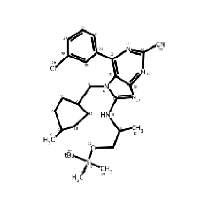 CC1CCC(Cn2c(NC(C)CO[Si](C)(C)C(C)(C)C)nc3nc(C#N)nc(-c4cccc(Cl)c4)c32)CC1